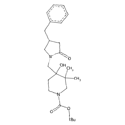 CC(C)(C)OC(=O)N1CCC(O)(CN2CC(Cc3ccccc3)CC2=O)C(C)(C)C1